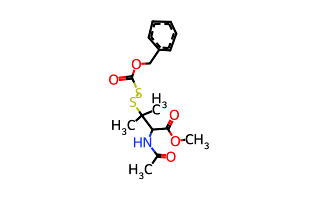 COC(=O)C(NC(C)=O)C(C)(C)SSC(=O)OCc1ccccc1